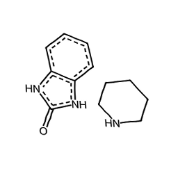 C1CCNCC1.O=c1[nH]c2ccccc2[nH]1